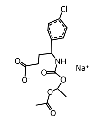 CC(=O)OC(C)OC(=O)NC(CCC(=O)[O-])c1ccc(Cl)cc1.[Na+]